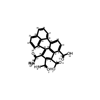 NC(=O)c1c(C(=O)O)c2c(C(=O)O)ccc3c4cccc5cccc(c(c1C(N)=O)c23)c54.[Na]